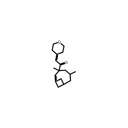 CC1CC2CC(=CC(C)(C(=O)C=C3CCOCC3)C1)C2